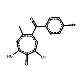 Cc1cc(O)c(=O)c(O)cc1C(=O)c1ccc(Br)cc1